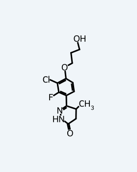 CC1CC(=O)NN=C1c1ccc(OCCCO)c(Cl)c1F